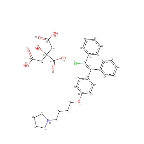 Cl/C(=C(/c1ccccc1)c1ccc(OCCCCN2CCCC2)cc1)c1ccccc1.O=C(O)CC(O)(CC(=O)O)C(=O)O